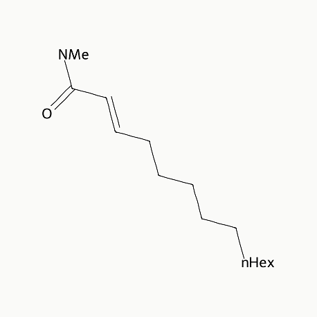 CCCCCCCCCCC/C=C/C(=O)NC